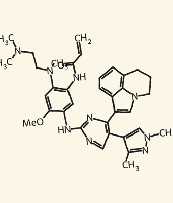 C=CC(=O)Nc1cc(Nc2ncc(-c3cn(C)nc3C)c(-c3cn4c5c(cccc35)CCC4)n2)c(OC)cc1N(C)CCN(C)C